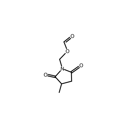 CC1CC(=O)N(COC=O)C1=O